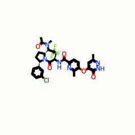 CC(=O)N(C)C([C@H]1CC[C@@H](c2cccc(Cl)c2)N1C(=O)[C@@H](C)NC(=O)c1ccc(Oc2cc(C)n[nH]c2=O)c(C)n1)C(F)(F)F